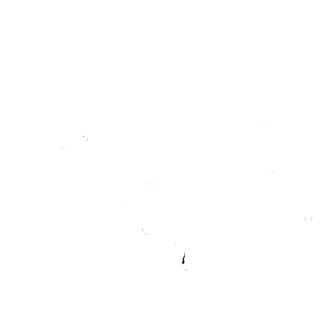 CCC1(CC)OC(=O)N(CCC(C)(C)NC[C@H](O)c2ccc(O)c(NS(C)(=O)=O)c2)c2ccccc21.Cl